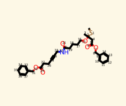 CSC(C)(CC(=O)OCc1ccccc1)OCCCCC(=O)NCC#CCCC(=O)OCc1ccccc1